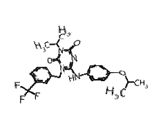 CC(C)Oc1ccc(Nc2nc(=O)n(C(C)C)c(=O)n2Cc2cccc(C(F)(F)F)c2)cc1